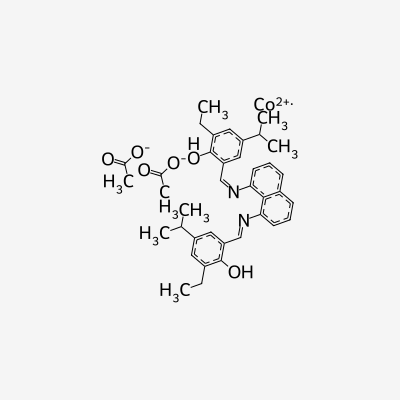 CC(=O)[O-].CC(=O)[O-].CCc1cc(C(C)C)cc(C=Nc2cccc3cccc(N=Cc4cc(C(C)C)cc(CC)c4O)c23)c1O.[Co+2]